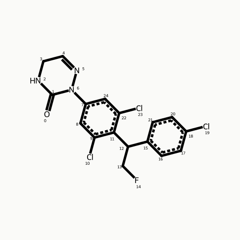 O=C1NCC=NN1c1cc(Cl)c(C(CF)c2ccc(Cl)cc2)c(Cl)c1